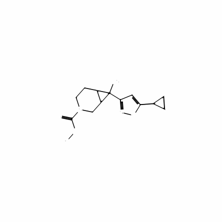 CC(C)(C)OC(=O)N1CCC2C(C1)C2(C#N)c1cc(C2CC2)on1